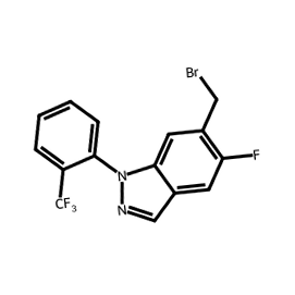 Fc1cc2cnn(-c3ccccc3C(F)(F)F)c2cc1CBr